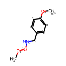 COONCc1ccc(OC)cc1